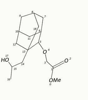 COC(=O)COC1C2CC3CC(C2)CC1(CC(C)O)C3